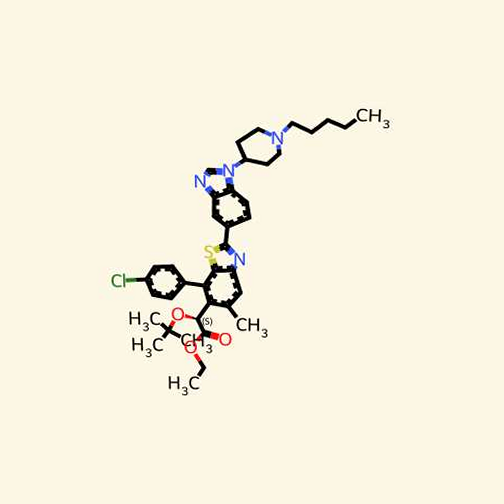 CCCCCN1CCC(n2cnc3cc(-c4nc5cc(C)c([C@H](OC(C)(C)C)C(=O)OCC)c(-c6ccc(Cl)cc6)c5s4)ccc32)CC1